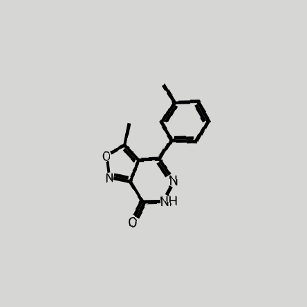 Cc1cccc(-c2n[nH]c(=O)c3noc(C)c23)c1